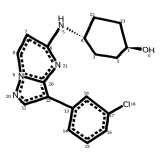 O[C@H]1CC[C@H](Nc2ccn3ncc(-c4cccc(Cl)c4)c3n2)CC1